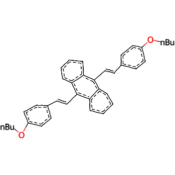 CCCCOc1ccc(C=Cc2c3ccccc3c(C=Cc3ccc(OCCCC)cc3)c3ccccc23)cc1